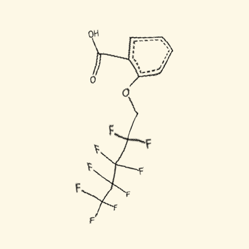 O=C(O)c1ccccc1OCC(F)(F)C(F)(F)C(F)(F)C(F)(F)F